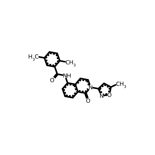 Cc1ccc(C)c(C(=O)Nc2cccc3c(=O)n(-c4cc(C)on4)ccc23)c1